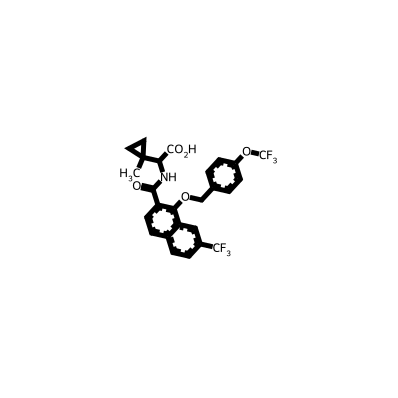 CC1(C(NC(=O)c2ccc3ccc(C(F)(F)F)cc3c2OCc2ccc(OC(F)(F)F)cc2)C(=O)O)CC1